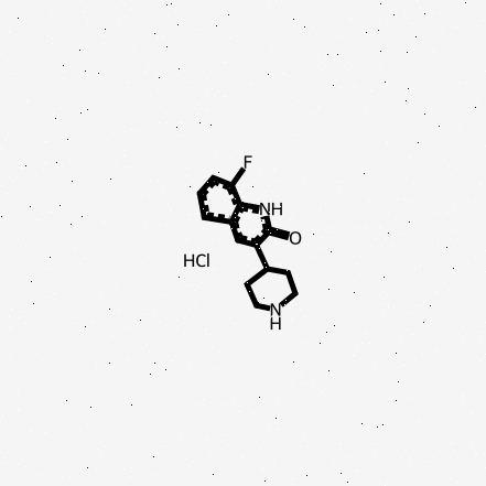 Cl.O=c1[nH]c2c(F)cccc2cc1C1CCNCC1